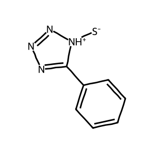 [S-][NH+]1N=NN=C1c1ccccc1